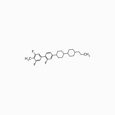 CCCC1CCC(C2CCC(c3ccc(-c4cc(F)c(C)c(F)c4)c(F)c3)CC2)CC1